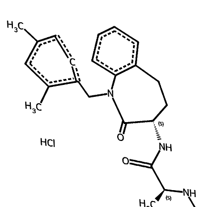 CN[C@@H](C)C(=O)N[C@H]1CCc2ccccc2N(Cc2ccc(C)cc2C)C1=O.Cl